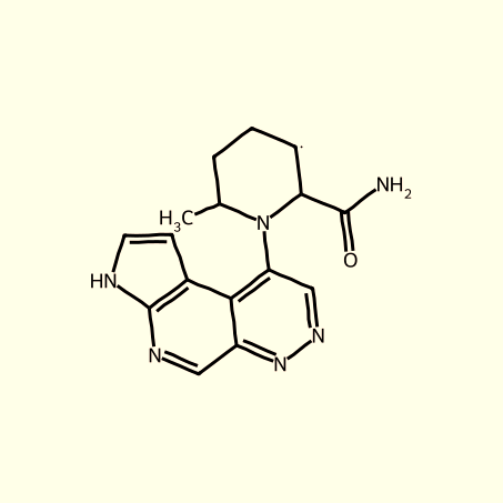 CC1CC[CH]C(C(N)=O)N1c1cnnc2cnc3[nH]ccc3c12